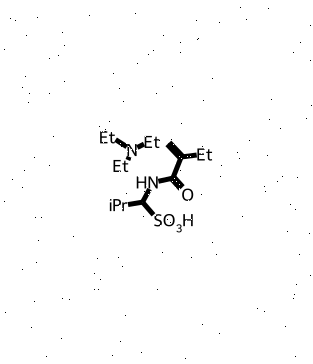 C=C(CC)C(=O)NC(C(C)C)S(=O)(=O)O.CCN(CC)CC